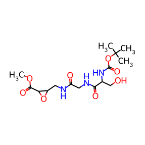 COC(=O)C1OC1CNC(=O)CNC(=O)C(CO)NC(=O)OC(C)(C)C